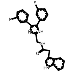 O=C(Cc1c[nH]c2ccccc12)NCc1nc(-c2cccc(F)c2)c(-c2cccc(F)c2)[nH]1